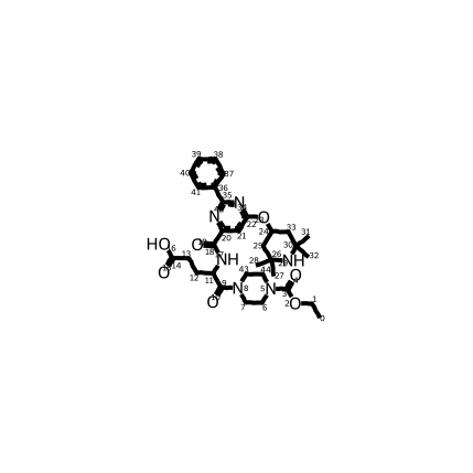 CCOC(=O)N1CCN(C(=O)C(CCC(=O)O)NC(=O)c2cc(OC3CC(C)(C)NC(C)(C)C3)nc(-c3ccccc3)n2)CC1